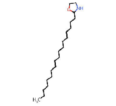 CCCCCCCCCCCCCCCCCCC1NCCO1